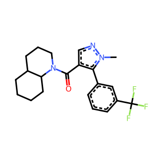 Cn1ncc(C(=O)N2CCCC3CCCCC32)c1-c1cccc(C(F)(F)F)c1